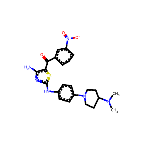 CN(C)C1CCN(c2ccc(Nc3nc(N)c(C(=O)c4cccc([N+](=O)[O-])c4)s3)cc2)CC1